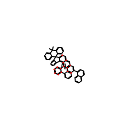 CC1(C)c2ccccc2C2(c3ccccc3-c3c(N(c4ccc(-c5cccc6ccccc56)cc4)c4ccccc4-c4ccccc4-c4ccccc4-c4ccccc4)cccc32)c2ccccc21